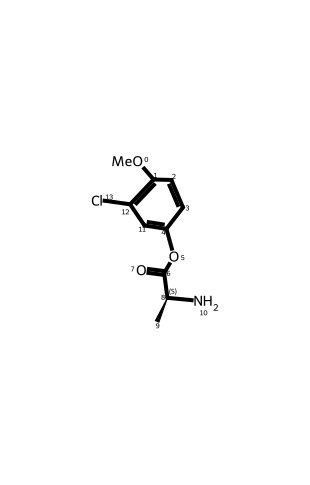 COc1ccc(OC(=O)[C@H](C)N)cc1Cl